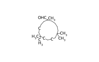 CC1(C)CCCCC(C)(C)CCCCC(C)(C=O)CCCC1